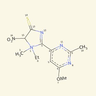 CC[N+]1(C)C(c2cc(OC)nc(C)n2)=NC(=S)C1[N+](=O)[O-]